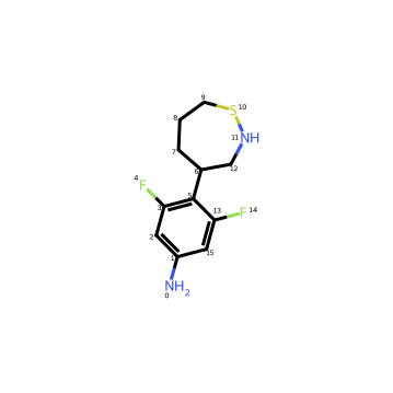 Nc1cc(F)c(C2CCCSNC2)c(F)c1